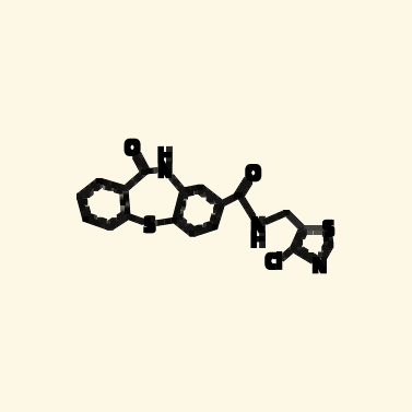 O=C(NCc1scnc1Cl)c1ccc2c(c1)NC(=O)c1ccccc1S2